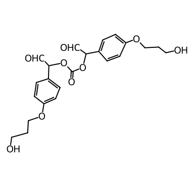 O=CC(OC(=O)OC(C=O)c1ccc(OCCCO)cc1)c1ccc(OCCCO)cc1